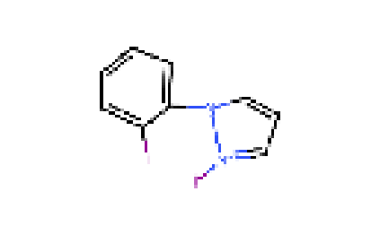 Ic1ccccc1-n1ccc[n+]1I